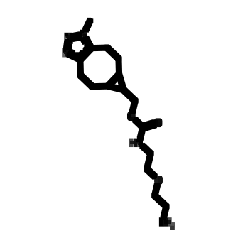 BCCOCCNC(=O)OCC1C2CCc3nnn(C)c3CCC21